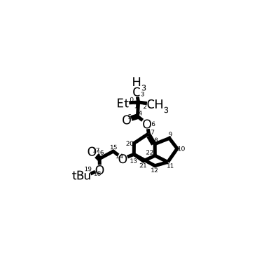 CCC(C)(C)C(=O)OC1=C2CCC3CC(OCC(=O)OC(C)(C)C)(C1)CC23